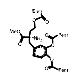 CCCC(C)C(=O)Oc1ccc(C[C@](N)(CCOC(=O)OCC(C)C)C(=O)OC)cc1OC(=O)C(C)CCC